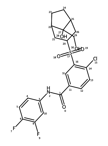 O=C(Nc1ccc(F)c(F)c1)c1ccc(Cl)c(S(=O)(=O)C2CC3CCC(C2)C3(O)CO)c1